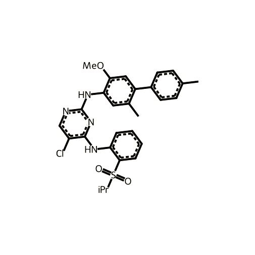 COc1cc(-c2ccc(C)cc2)c(C)cc1Nc1ncc(Cl)c(Nc2ccccc2S(=O)(=O)C(C)C)n1